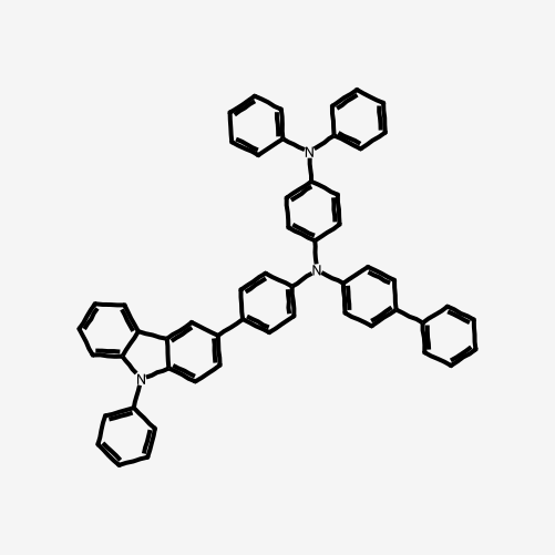 c1ccc(-c2ccc(N(c3ccc(-c4ccc5c(c4)c4ccccc4n5-c4ccccc4)cc3)c3ccc(N(c4ccccc4)c4ccccc4)cc3)cc2)cc1